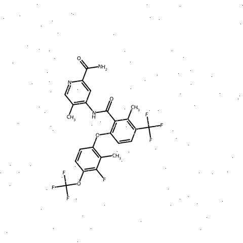 Cc1cnc(C(N)=O)cc1NC(=O)c1c(Oc2ccc(OC(F)(F)F)c(F)c2C)ccc(C(F)(F)F)c1C